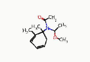 COC(C)N(C(C)=O)C1(C)CC=CC=C1C